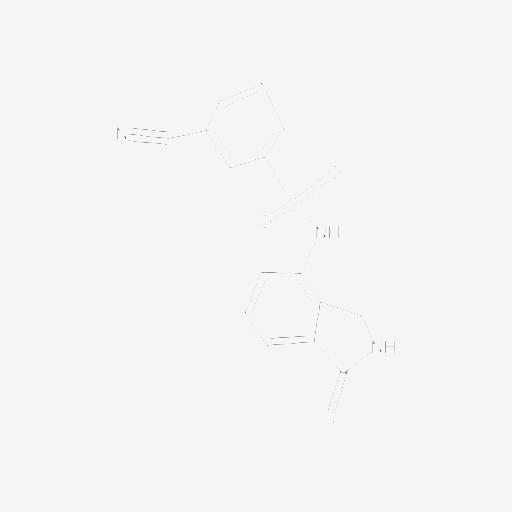 N#Cc1cccc(S(=O)(=O)Nc2cccc3c2CNC3=O)c1